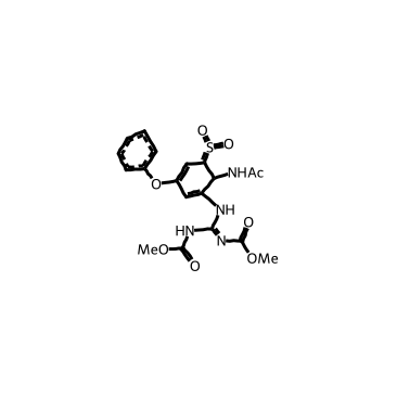 COC(=O)N=C(NC(=O)OC)NC1=CC(Oc2ccccc2)=CC(=S(=O)=O)C1NC(C)=O